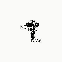 COC1CN(c2ccc(NC(=O)C(NC[C@@H](C)c3ccc(C#N)cc3)c3ccccc3)nc2)C1